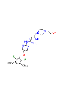 COc1cc(OC)c(F)c(COc2cnc(N/C(N)=C/C(=N)CN3CCN(CCO)CC3)nc2)c1F